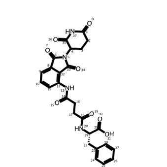 O=C1CCC(N2C(=O)c3cccc(NC(=O)CCC(=O)N[C@@H](Cc4ccccc4)C(=O)O)c3C2=O)C(=O)N1